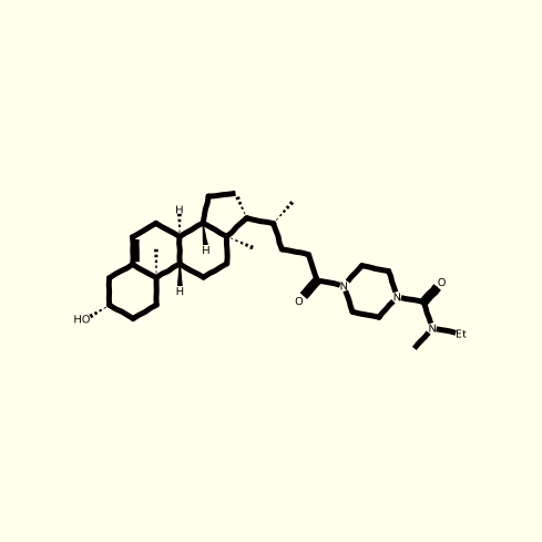 CCN(C)C(=O)N1CCN(C(=O)CC[C@@H](C)[C@H]2CC[C@H]3[C@@H]4CC=C5C[C@@H](O)CC[C@]5(C)[C@H]4CC[C@]23C)CC1